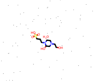 O.O=S(=O)(O)CCCN1CCN(CCO)CC1O